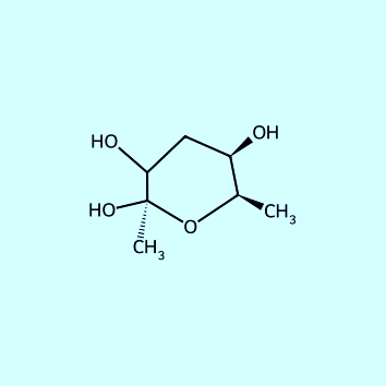 C[C@H]1O[C@@](C)(O)C(O)C[C@H]1O